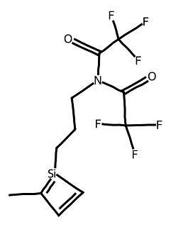 CC1=[Si](CCCN(C(=O)C(F)(F)F)C(=O)C(F)(F)F)C=C1